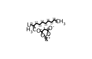 O=C([O-])CC(=O)[O-].[K+].[K+].[Li][CH](C)CCCCCCCC